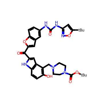 CC(C)(C)OC(=O)N1CCN(Cc2c(O)ccc3[nH]c(C(=O)c4cc5cc(NC(=O)Nc6cc(C(C)(C)C)on6)ccc5o4)cc23)CC1